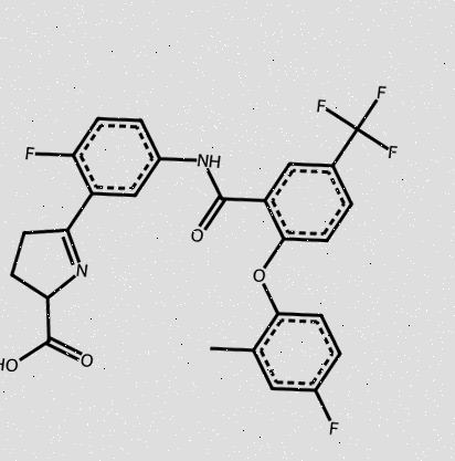 Cc1cc(F)ccc1Oc1ccc(C(F)(F)F)cc1C(=O)Nc1ccc(F)c(C2=NC(C(=O)O)CC2)c1